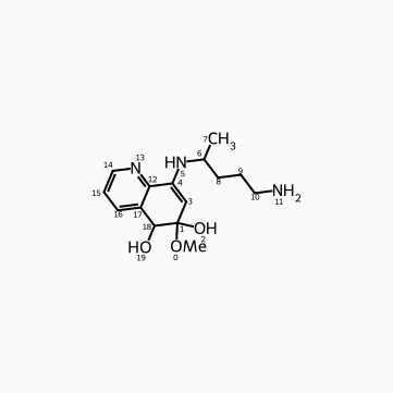 COC1(O)C=C(NC(C)CCCN)c2ncccc2C1O